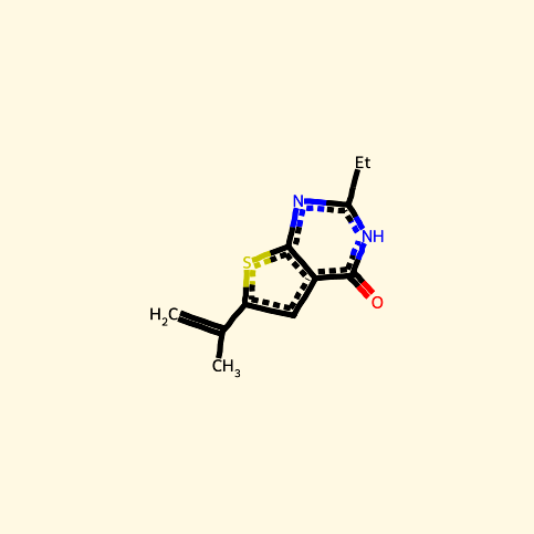 C=C(C)c1cc2c(=O)[nH]c(CC)nc2s1